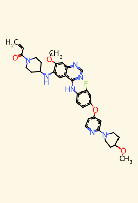 C=CC(=O)N1CCC(Nc2cc3c(Nc4ccc(Oc5ccnc(N6CCC(OC)CC6)c5)cc4F)ncnc3cc2OC)CC1